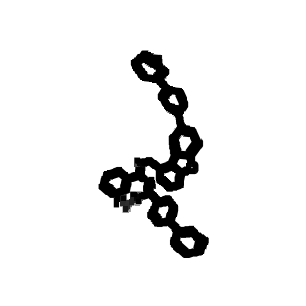 N/C(=N\C(=N/Cc1cccc2oc3ccc(-c4ccc(-c5ccccc5)cc4)cc3c12)c1ccccc1)c1ccc(-c2ccccc2)cc1